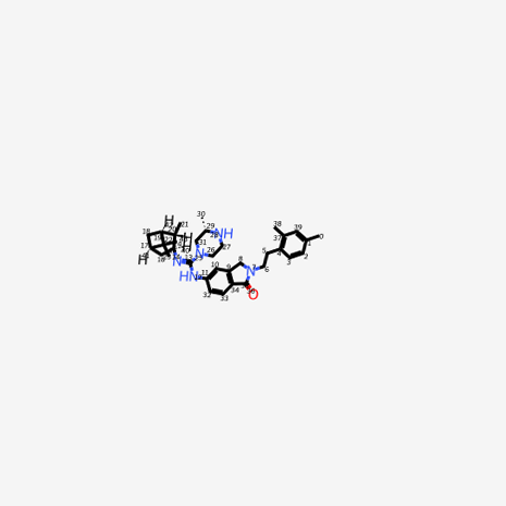 Cc1ccc(CCN2Cc3cc(N/C(=N/[C@H]4C[C@H]5C[C@@H]([C@@H]4C)C5(C)C)N4CCN[C@@H](C)C4)ccc3C2=O)c(C)c1